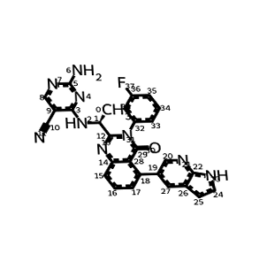 C[C@H](Nc1nc(N)ncc1C#N)c1nc2cccc(-c3cnc4[nH]ccc4c3)c2c(=O)n1-c1cccc(F)c1